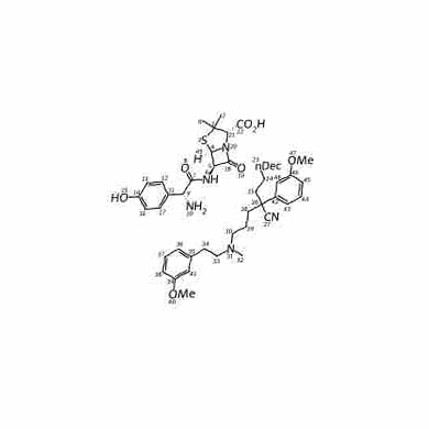 CC1(C)S[C@@H]2[C@H](NC(=O)[C@H](N)c3ccc(O)cc3)C(=O)N2[C@H]1C(=O)O.CCCCCCCCCCCCC(C#N)(CCCN(C)CCc1cccc(OC)c1)c1cccc(OC)c1